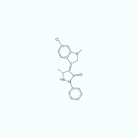 CC1NN(c2ccccc2)C(=O)C1=S1CN(C)c2cc(Cl)ccc21